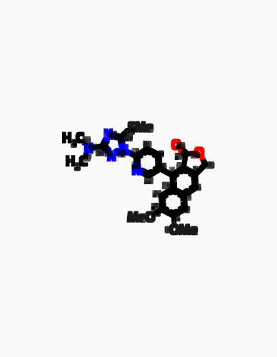 COc1cc2cc3c(c(-c4ccc(-n5nc(N(C)C)nc5SC)nc4)c2cc1OC)C(=O)OC3